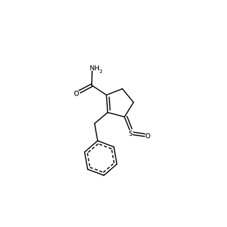 NC(=O)C1=C(Cc2ccccc2)C(=S=O)CC1